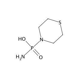 NP(=O)(O)N1CCSCC1